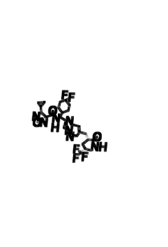 O=C(N[C@H](c1cn2ncc(C[C@H]3C[C@@H](C(F)(F)F)CNC3=O)cc2n1)C1CCC(F)(F)CC1)c1nonc1C1CC1